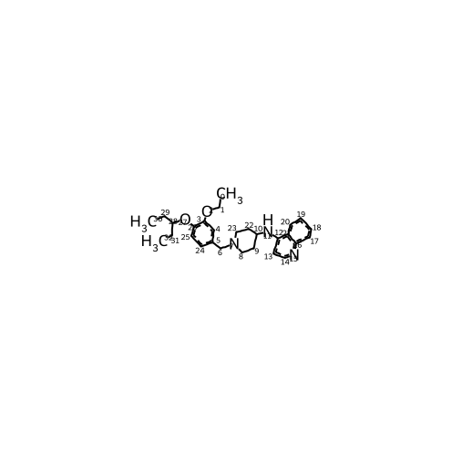 CCOc1cc(CN2CCC(Nc3ccnc4ccccc34)CC2)ccc1OC(CC)CC